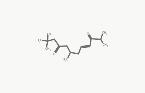 CC(C/C=C/C(=O)C(C)C)CC(=O)CC(C)(C)C